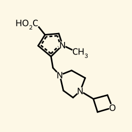 Cn1cc(C(=O)O)cc1CN1CCN(C2COC2)CC1